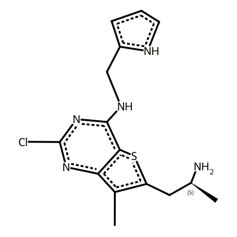 Cc1c(C[C@H](C)N)sc2c(NCc3ccc[nH]3)nc(Cl)nc12